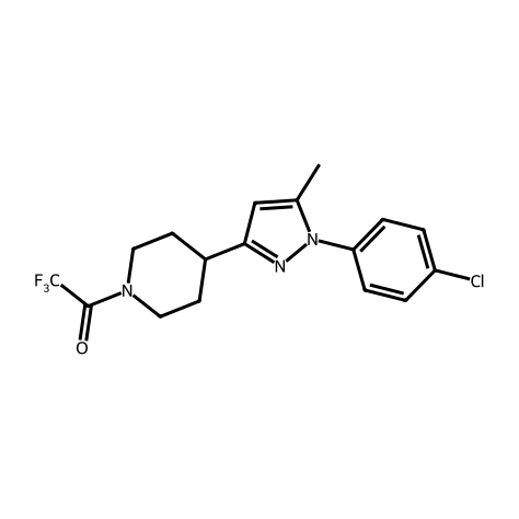 Cc1cc(C2CCN(C(=O)C(F)(F)F)CC2)nn1-c1ccc(Cl)cc1